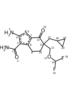 NC(=O)c1c(N)sc2c1CCC(COC(F)F)(CC1CC1)C2=O